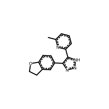 Cc1cccc(-c2[nH]nnc2-c2ccc3c(c2)CCO3)n1